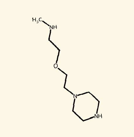 CNCCOCCN1CCNCC1